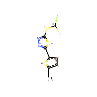 Cc1ccc(-c2nnc(SC(F)F)s2)s1